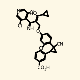 N#CC1(c2ccc(OC/C(C(=N)c3c(Cl)cncc3Cl)=C(/O)C3CC3)cc2Cl)CC1c1cccc(C(=O)O)c1